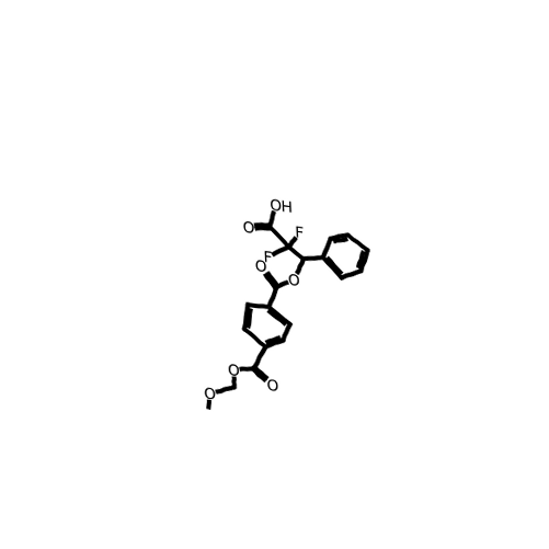 COCOC(=O)c1ccc(C(=O)OC(c2ccccc2)C(F)(F)C(=O)O)cc1